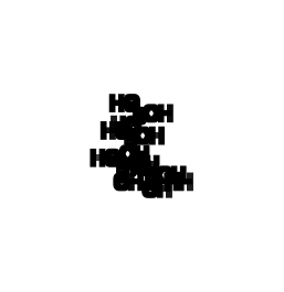 OB(O)O.OB(O)O.OB(O)O.OB(O)O.[HH]